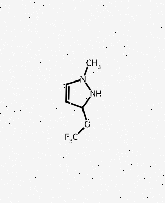 CN1[C]=CC(OC(F)(F)F)N1